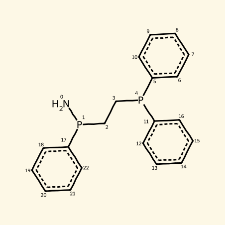 NP(CCP(c1ccccc1)c1ccccc1)c1ccccc1